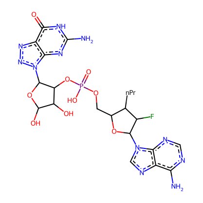 CCCC1C(COP(=O)(O)OC2C(O)C(O)OC2n2nnc3c(=O)[nH]c(N)nc32)OC(n2cnc3c(N)ncnc32)C1F